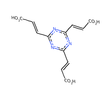 O=C(O)C=Cc1nc(C=CC(=O)O)nc(C=CC(=O)O)n1